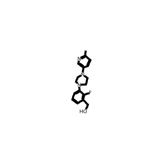 Cc1ccc(N2CCN(c3cccc(CO)c3F)CC2)cn1